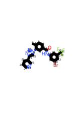 Cc1ccc(C(=O)Nc2cc(Br)cc(C(F)(F)F)c2)cc1-n1cc(-c2cccnc2)nn1